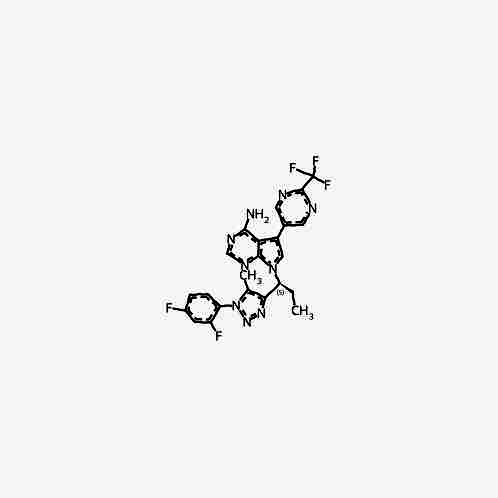 CC[C@@H](c1nnn(-c2ccc(F)cc2F)c1C)n1cc(-c2cnc(C(F)(F)F)nc2)c2c(N)ncnc21